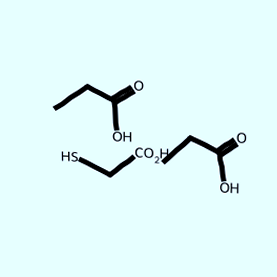 CCC(=O)O.CCC(=O)O.O=C(O)CS